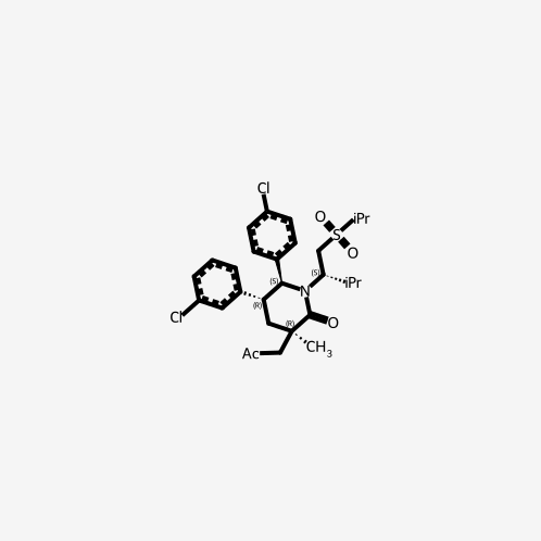 CC(=O)C[C@@]1(C)C[C@H](c2cccc(Cl)c2)[C@@H](c2ccc(Cl)cc2)N([C@H](CS(=O)(=O)C(C)C)C(C)C)C1=O